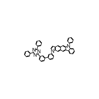 c1ccc(-c2nc(-c3ccccc3)nc(-c3cccc(-c4cccc(-n5ccc6cc7cc8c(cc7cc65)c5ccccc5n8-c5ccccc5)c4)c3)n2)cc1